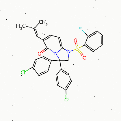 CC(C)=Cc1ccc2n(c1=O)C(c1ccc(Cl)cc1)(c1ccc(Cl)cc1)CN2S(=O)(=O)c1ccccc1F